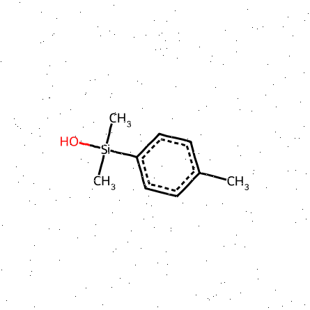 Cc1ccc([Si](C)(C)O)cc1